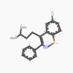 CNC(CCC1=C(c2ccccc2)NSc2ccc(Cl)cc21)NC